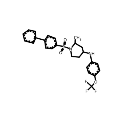 CC1CC(Nc2ccc(OC(F)(F)F)cc2)CCN1S(=O)(=O)c1ccc(-c2ccccc2)cc1